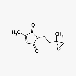 CC1=CC(=O)N(CCC2(C)CO2)C1=O